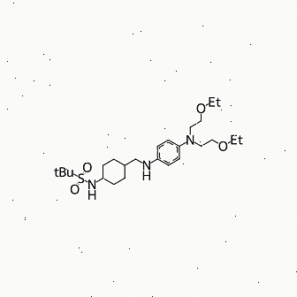 CCOCCN(CCOCC)c1ccc(NCC2CCC(NS(=O)(=O)C(C)(C)C)CC2)cc1